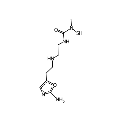 CN(S)C(=O)NCCNCCc1cnc(N)o1